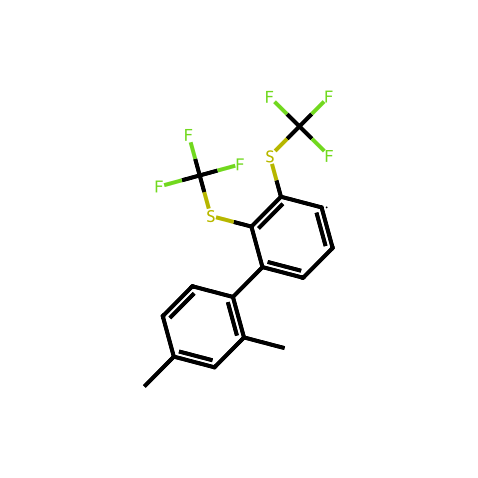 Cc1ccc(-c2cc[c]c(SC(F)(F)F)c2SC(F)(F)F)c(C)c1